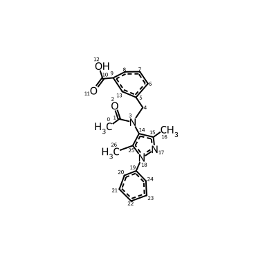 CC(=O)N(Cc1cccc(C(=O)O)c1)c1c(C)nn(-c2ccccc2)c1C